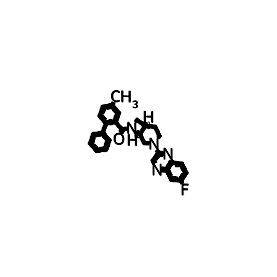 Cc1ccc(-c2ccccc2)c(C(=O)N2C[C@H]3CCN(c4cnc5cc(F)ccc5n4)C[C@H]32)c1